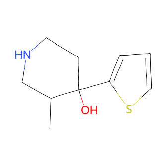 CC1CNCCC1(O)c1cccs1